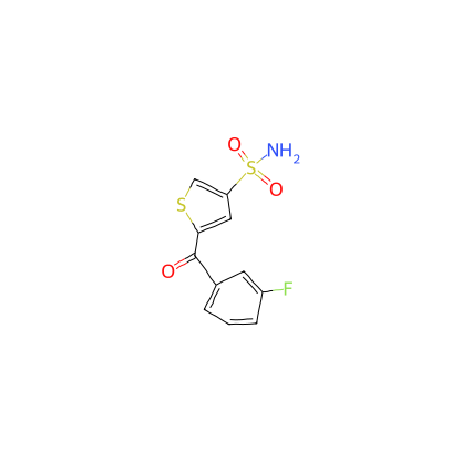 NS(=O)(=O)c1csc(C(=O)c2cccc(F)c2)c1